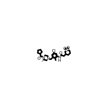 Cc1c(CN2CCN(C(=O)C3CCCC3)[C@@H](C)C2)cc(Cl)cc1NC(=O)CC1CCCS(=O)(=O)C1